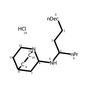 CCCCCCCCCCCCC(CCC)NC1CC2CCN1CC2.Cl